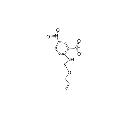 C=CCOSNc1ccc([N+](=O)[O-])cc1[N+](=O)[O-]